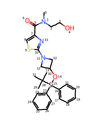 CN(CCO)C(=O)c1csc(N2CC(O[Si](c3ccccc3)(c3ccccc3)C(C)(C)C)C2)n1